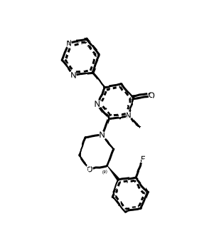 Cn1c(N2CCO[C@H](c3ccccc3F)C2)nc(-c2ccncn2)cc1=O